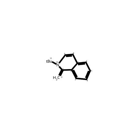 C=C1c2ccccc2C=CN1C(C)(C)C